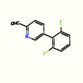 O=Cc1ccc(-c2c(F)cccc2F)cn1